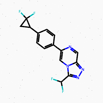 FC(F)c1nnc2cnc(-c3ccc(C4CC4(F)F)cc3)cn12